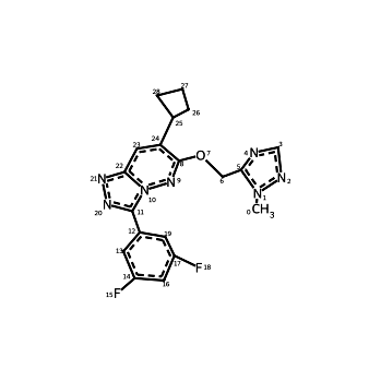 Cn1ncnc1COc1nn2c(-c3cc(F)cc(F)c3)nnc2cc1C1CCC1